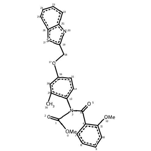 COC(=O)N(C(=O)c1ccccc1OC)c1ccc(OCc2nc3ccccc3s2)cc1C